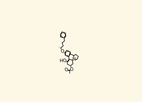 CC(=O)O[C@H]1CC(O)=C2c3cc(O[C@H](C)CCCc4ccccc4)ccc3C3CCCN3C2C1